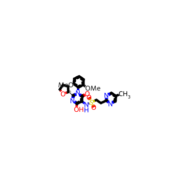 COc1cccc(OC)c1-n1c([C@H]2CCCO2)nc(O)c(NS(=O)(=O)CCc2ncc(C)cn2)c1=O